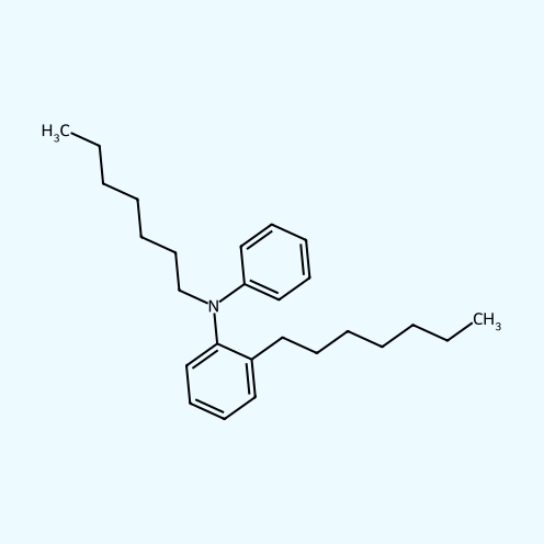 CCCCCCCc1ccccc1N(CCCCCCC)c1ccccc1